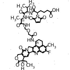 CC[C@@]1(O)C(=O)OCc2c1cc1n(c2=O)Cc2c-1nc1cc(F)c(C)c3c1c2[C@H](NC(=O)COCNC(=O)[C@H](C)NC(=O)[C@@H](NC(=O)C(CCCC(=O)O)N1C(=O)C=CC1=O)C(C)C)CC3